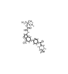 CC(C)(C)OC(=O)NCc1coc2c(Cl)cc(-c3ccc(C(=O)N4CCC(F)(F)CC4)cn3)cc12